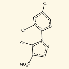 O=C(O)c1cnn(-c2ccc(Cl)cc2Cl)c1Cl